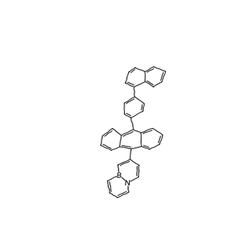 C1=CB2C=C(c3c4ccccc4c(-c4ccc(-c5cccc6ccccc56)cc4)c4ccccc34)C=CN2C=C1